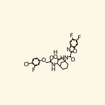 O=C(COc1ccc(Cl)c(F)c1)NC1C2CCCC(NC(=O)c3nc4cc(F)c(F)cc4o3)(C2)C[C@@H]1O